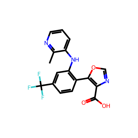 Cc1ncccc1Nc1cc(C(F)(F)F)ccc1-c1ocnc1C(=O)O